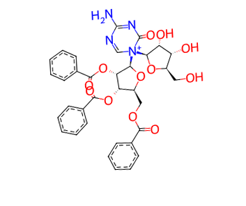 NC1=NC(=O)[N+]([C@@H]2O[C@H](CO)[C@@H](O)[C@H]2O)([C@H]2O[C@@H](COC(=O)c3ccccc3)[C@H](OC(=O)c3ccccc3)[C@@H]2OC(=O)c2ccccc2)C=N1